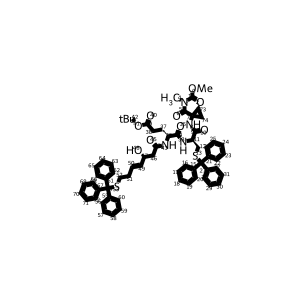 COC(=O)N(C)C(=O)C1(NC(=O)[C@@H](CSC(c2ccccc2)(c2ccccc2)c2ccccc2)NC(=O)[C@@H](CCC(=O)OC(C)(C)C)NC(=O)C[C@H](O)/C=C/CCSC(c2ccccc2)(c2ccccc2)c2ccccc2)CC1